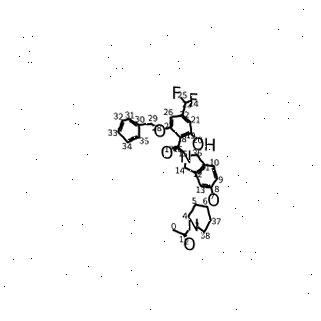 CC(=O)N1CCC(Oc2ccc3c(c2)CN(C(=O)c2c(O)cc(C(F)F)cc2OCc2ccccc2)C3)CC1